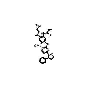 C=CC(=O)Nc1cc(Nc2nccc(N3OCCC3c3ccccc3)n2)c(OC)cc1N(C)CCN(C)C